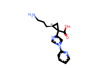 NCCC[C@H]1CC1(C(=O)O)c1cn(-c2ccccn2)cn1